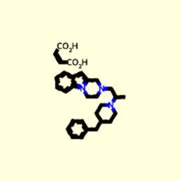 CC(CN1CCn2c(cc3ccccc32)C1)N1CCC(Cc2ccccc2)CC1.O=C(O)/C=C\C(=O)O